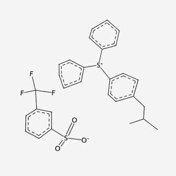 CC(C)Cc1ccc([S+](c2ccccc2)c2ccccc2)cc1.O=S(=O)([O-])c1cccc(C(F)(F)F)c1